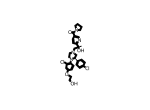 C[C@@](O)(CN1CCN(c2ccc(OCCO)cc2Cl)[C@H](c2ccc(Cl)cc2)C1)c1ccc(C(=O)N2CCCC2)cn1